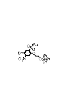 CC(C)[Si](OCCOc1cc([N+](=O)[O-])c(Br)cc1S(=O)(=O)C(C)(C)C)(C(C)C)C(C)C